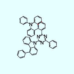 c1ccc(-c2nc(-c3ccccc3-c3ccccc3N(c3ccccc3)c3ccccc3)nc(-n3c4ccccc4c4c(-c5ccccc5)cccc43)n2)cc1